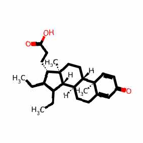 CCC1C(CC)[C@H]2[C@@H]3CCC4=CC(=O)C=C[C@]4(C)[C@H]3CC[C@]2(C)[C@H]1CCC(=O)O